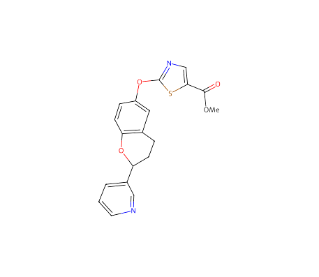 COC(=O)c1cnc(Oc2ccc3c(c2)CCC(c2cccnc2)O3)s1